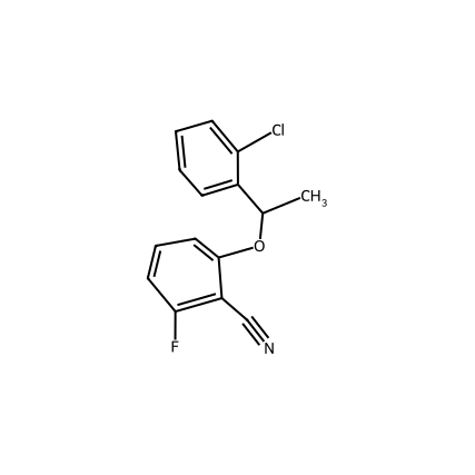 CC(Oc1cccc(F)c1C#N)c1ccccc1Cl